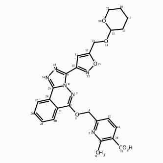 Cc1nc(COc2nn3c(-c4cc(COC5CCCCO5)on4)nnc3c3ccccc23)ccc1C(=O)O